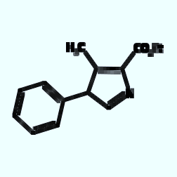 CCOC(=O)C1=C(C)C(c2ccccc2)C=N1